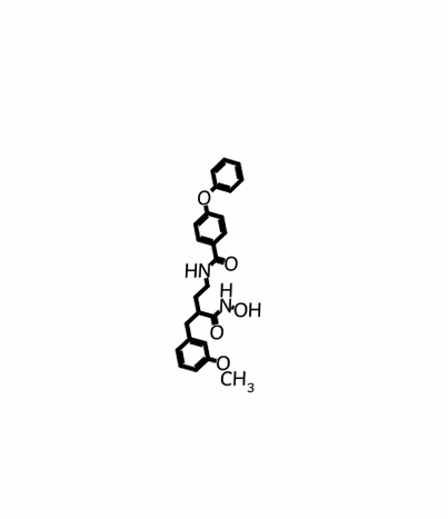 COc1cccc(CC(CCNC(=O)c2ccc(Oc3ccccc3)cc2)C(=O)NO)c1